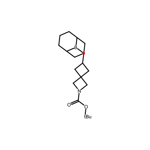 CC(C)(C)OC(=O)N1CC2(CC(CB3C4CCCC3CCC4)C2)C1